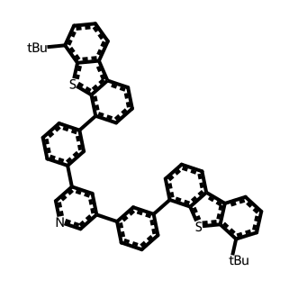 CC(C)(C)c1cccc2c1sc1c(-c3cccc(-c4cncc(-c5cccc(-c6cccc7c6sc6c(C(C)(C)C)cccc67)c5)c4)c3)cccc12